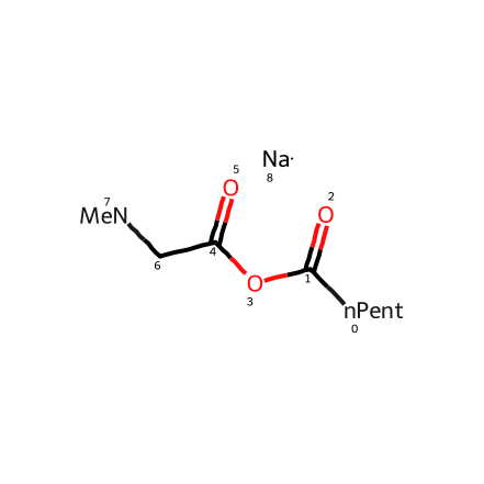 CCCCCC(=O)OC(=O)CNC.[Na]